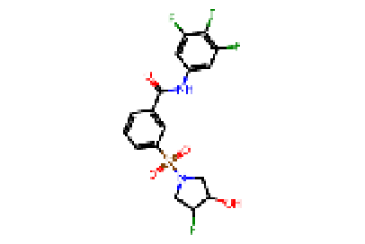 O=C(Nc1cc(F)c(F)c(F)c1)c1cccc(S(=O)(=O)N2CC(O)C(F)C2)c1